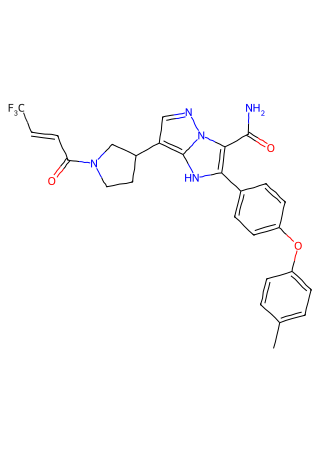 Cc1ccc(Oc2ccc(-c3[nH]c4c(C5CCN(C(=O)/C=C/C(F)(F)F)C5)cnn4c3C(N)=O)cc2)cc1